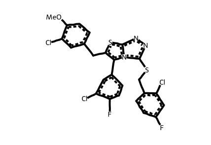 COc1ccc(Cc2sc3nnc(SCc4ccc(F)cc4Cl)n3c2-c2ccc(F)c(Cl)c2)cc1Cl